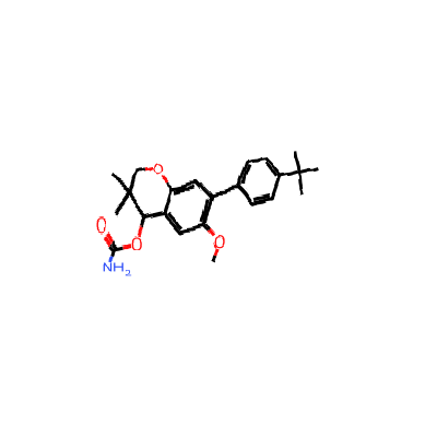 COc1cc2c(cc1-c1ccc(C(C)(C)C)cc1)OCC(C)(C)C2OC(N)=O